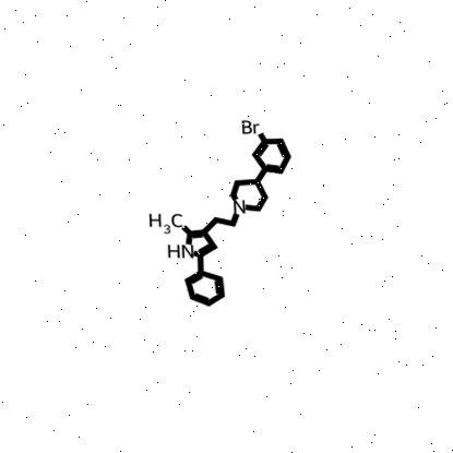 Cc1[nH]c(-c2ccccc2)cc1CCN1CCC(c2cccc(Br)c2)CC1